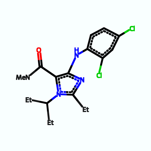 CCc1nc(Nc2ccc(Cl)cc2Cl)c(C(=O)NC)n1C(CC)CC